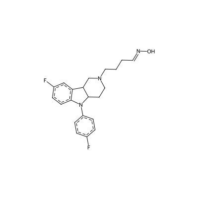 ON=CCCCN1CCC2C(C1)c1cc(F)ccc1N2c1ccc(F)cc1